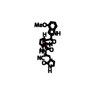 COc1cccc2[nH]c(C(=O)N3[C@H]4CC[C@@H]([C@H]3C(=O)N[C@H](C#N)C[C@H]3CCNC3=O)C(F)(F)C4)cc12